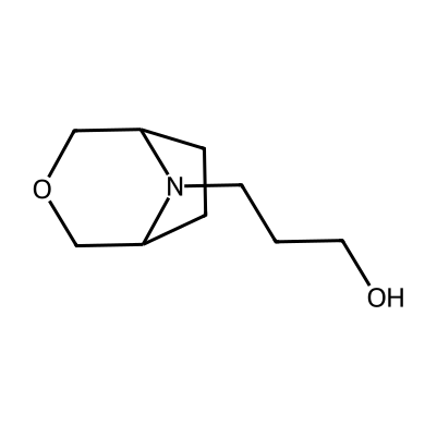 OCCCN1C2CCC1COC2